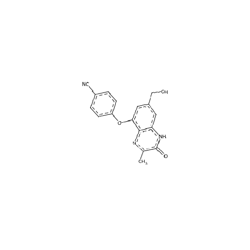 Cc1nc2c(Oc3ccc(C#N)cc3)cc(CO)cc2[nH]c1=O